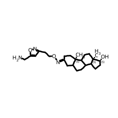 C[C@]12CCC(=NOCCc3cc(CN)on3)CC1CCC1C2CC[C@@]2(C)C1CC[C@@H]2O